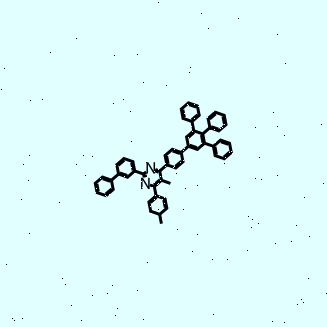 Cc1c(C2=CCC(C)C=C2)nc(-c2cccc(-c3ccccc3)c2)nc1-c1ccc(-c2cc(-c3ccccc3)c(-c3ccccc3)c(-c3ccccc3)c2)cc1